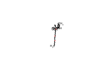 CCCCCCCCCCCCCCCCCCN(C1CCCOC1)C(C#N)c1c(C)[nH]c2ccc(OC)cc12